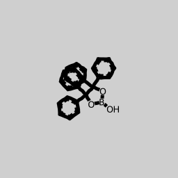 OB1OC(c2ccccc2)(c2ccccc2)C(c2ccccc2)(c2ccccc2)O1